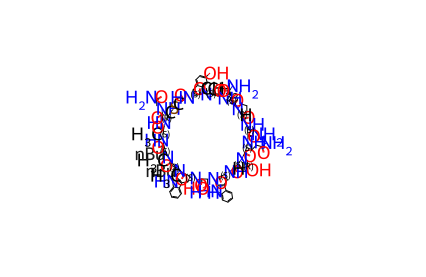 CCCC[C@H]1C(=O)N(C)[C@@H](CCCC)C(=O)N[C@@H](C)C(=O)N[C@H](C(=O)NCC(N)=O)CSCC(=O)N[C@@H](Cc2ccc(O)cc2)C(=O)N(C)[C@@H](C)C(=O)N[C@@H](CC(N)=O)C(=O)N2CCC[C@H]2C(=O)N[C@@H](CN)C(=O)N[C@@H](CCC(N)=O)C(=O)N2C[C@H](O)C[C@H]2C(=O)N[C@@H](Cc2c[nH]c3ccccc23)C(=O)NC(CO)C(=O)N[C@@H](Cc2c[nH]c3ccccc23)C(=O)N1C